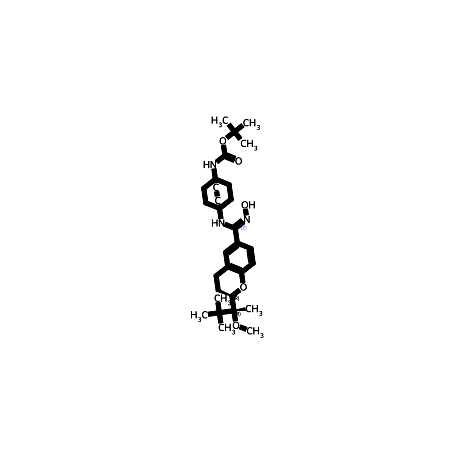 CO[C@@](C)([C@H]1CCc2cc(/C(=N/O)NC34CCC(NC(=O)OC(C)(C)C)(CC3)CC4)ccc2O1)C(C)(C)C